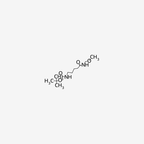 COCNC(=O)CCCCNC(=O)OC(C)(C)C